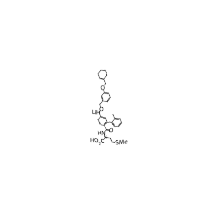 CSCC[C@H](NC(=O)c1ccc(COCc2cccc(OCC3CCCCC3)c2)cc1-c1ccccc1C)C(=O)O.[LiH]